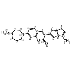 Cc1csc2nc(-c3cc4ccc(N5CCCN(C)CC5)cc4oc3=O)cn12